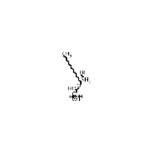 CCCCCCCCCCCCCC/C=C\OCC(O)COP(=O)(O)O.NCCO